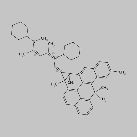 C/C(=C/C(C)=[N+](\C=C1\C2(C)c3ccc4cccc5c4c3-c3c(c4cc(C)ccc4c[n+]3C12C)C5(C)C)C1CCCCC1)N(C)C1CCCCC1